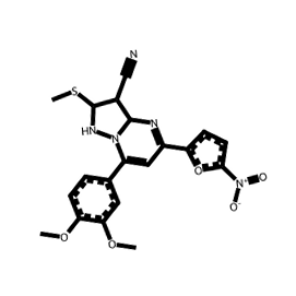 COc1ccc(C2=CC(c3ccc([N+](=O)[O-])o3)=NC3C(C#N)C(SC)NN23)cc1OC